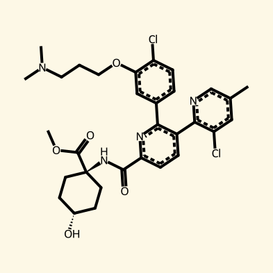 COC(=O)[C@]1(NC(=O)c2ccc(-c3ncc(C)cc3Cl)c(-c3ccc(Cl)c(OCCCN(C)C)c3)n2)CC[C@H](O)CC1